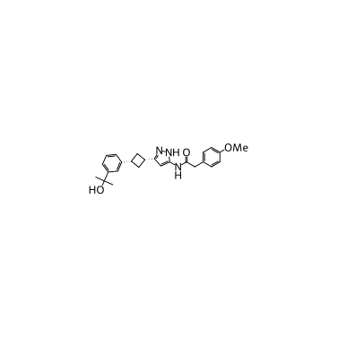 COc1ccc(CC(=O)Nc2cc([C@H]3C[C@@H](c4cccc(C(C)(C)O)c4)C3)n[nH]2)cc1